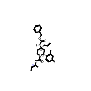 C=CC[C@]1(NC(=O)OCc2ccccc2)CCN(C(=O)O/C(C)=C/C)[C@@H](c2ccc(F)cc2C)C1